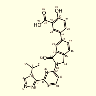 CC(C)n1cnnc1-c1cccc(N2Cc3ccc(-c4ccc(O)c(C(=O)O)c4)cc3C2=O)n1